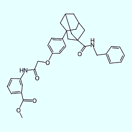 COC(=O)c1cccc(NC(=O)COc2ccc(C34CC5CC(CC(C(=O)NCc6ccccc6)(C5)C3)C4)cc2)c1